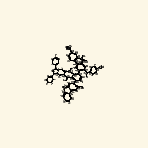 CB1c2cc3c(-c4ccccc4)oc(-c4ccccc4)c3cc2C(C)c2c(-c3cc4sc5ccccc5c4cc3C)ccc(-c3cc4c(cc3C(C)c3ccc(C(C)(C)C)cc3)C(C)(C)c3cc(C(C)(C)C)ccc3-4)c21